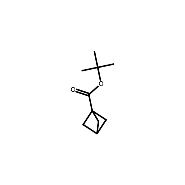 CC(C)(C)OC(=O)C12CC(C1)C2